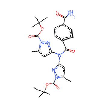 Cc1cc(N(C(=O)c2ccc(C(N)=O)cc2)c2cc(C)n(C(=O)OC(C)(C)C)n2)nn1C(=O)OC(C)(C)C